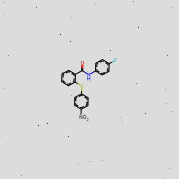 O=C(Nc1ccc(F)cc1)c1ccccc1Sc1ccc([N+](=O)[O-])cc1